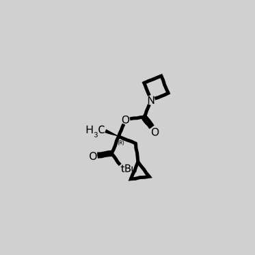 CC(C)(C)C(=O)[C@@](C)(CC1CC1)OC(=O)N1CCC1